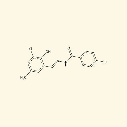 Cc1cc(Cl)c(O)c(/C=N/NC(=O)c2ccc(Cl)cc2)c1